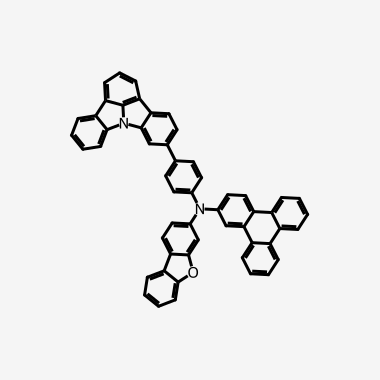 c1ccc2c(c1)oc1cc(N(c3ccc(-c4ccc5c6cccc7c8ccccc8n(c5c4)c76)cc3)c3ccc4c5ccccc5c5ccccc5c4c3)ccc12